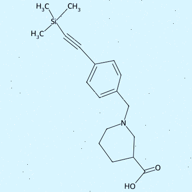 C[Si](C)(C)C#Cc1ccc(CN2CCCC(C(=O)O)C2)cc1